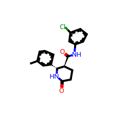 Cc1cccc([C@H]2NC(=O)CC[C@@H]2C(=O)Nc2cccc(Cl)c2)c1